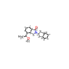 C=C(OCC)c1cccc2c1CN(C1Cc3ccccc3C1)C2=O